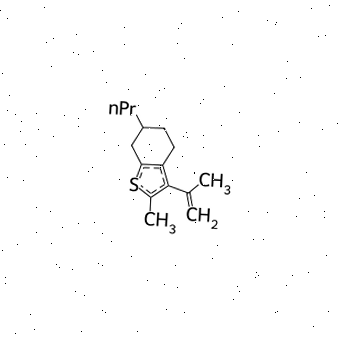 C=C(C)c1c(C)sc2c1CCC(CCC)C2